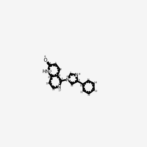 O=c1ccc2c(-n3cnc(-c4ccccc4)c3)nccc2[nH]1